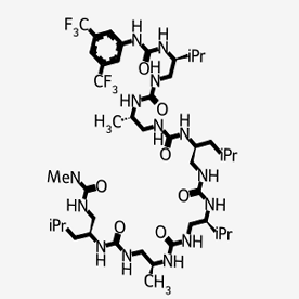 CNC(=O)NC[C@H](CC(C)C)NC(=O)NC[C@H](C)NC(=O)NC[C@@H](NC(=O)NC[C@H](CC(C)C)NC(=O)NC[C@H](C)NC(=O)NC[C@@H](NC(=O)Nc1cc(C(F)(F)F)cc(C(F)(F)F)c1)C(C)C)C(C)C